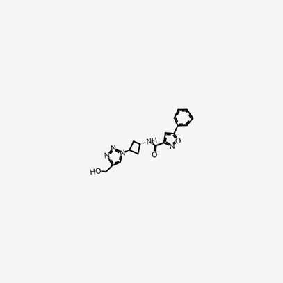 O=C(N[C@H]1C[C@H](n2cc(CO)nn2)C1)c1cc(-c2ccccc2)on1